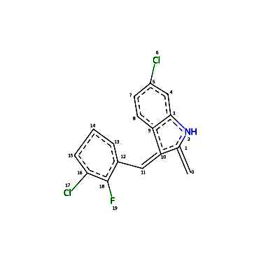 C=c1[nH]c2cc(Cl)ccc2/c1=C\c1cccc(Cl)c1F